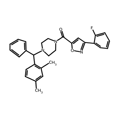 Cc1ccc(C(c2ccccc2)N2CCN(C(=O)c3cc(-c4ccccc4F)no3)CC2)c(C)c1